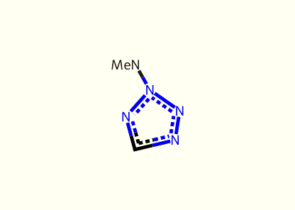 CNn1ncnn1